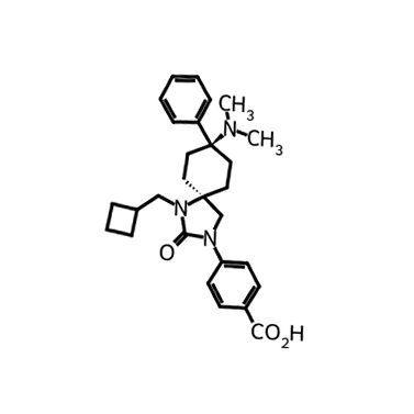 CN(C)[C@]1(c2ccccc2)CC[C@]2(CC1)CN(c1ccc(C(=O)O)cc1)C(=O)N2CC1CCC1